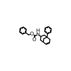 O=C(NC1CC2C=CCC(c3ccccc3)(C2)C1)OCc1ccccc1